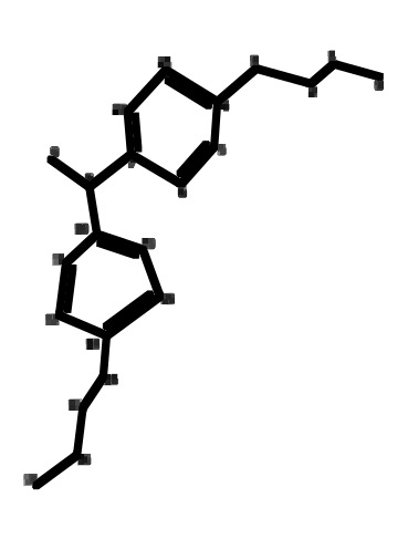 CCCCc1ccc(C(C)c2ccc(CCCC)cc2)cc1